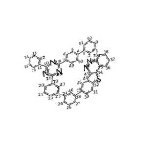 c1ccc(-c2ccc(-c3nc(-c4ccccc4)nc(-c4cccc(-c5cccc(-c6ccc7sc8c9ccccc9nnc8c7c6)c5)c4)n3)cc2)cc1